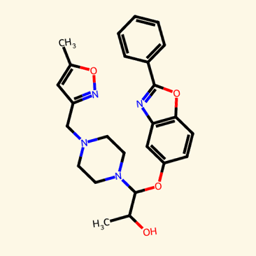 Cc1cc(CN2CCN(C(Oc3ccc4oc(-c5ccccc5)nc4c3)C(C)O)CC2)no1